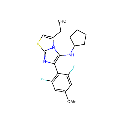 COc1cc(F)c(-c2nc3scc(CC=O)n3c2NC2CCCC2)c(F)c1